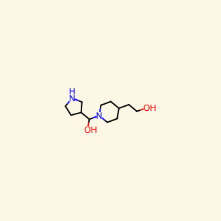 OCCC1CCN(C(O)C2CCNC2)CC1